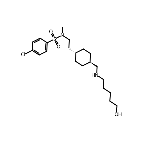 CN(CC[C@H]1CC[C@H](CNCCCCCO)CC1)S(=O)(=O)c1ccc(Cl)cc1